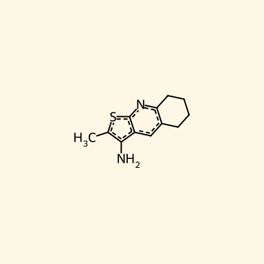 Cc1sc2nc3c(cc2c1N)CCCC3